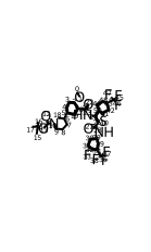 COc1ccc(C2CCCN(C(=O)OC(C)(C)C)C2)cc1C(=O)Nc1c(C(=O)Nc2ccc(F)c(C(F)(F)F)c2)sc2cc(C(F)(F)F)ccc12